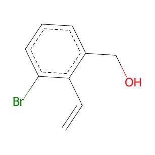 C=Cc1c(Br)cccc1CO